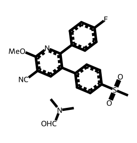 CN(C)C=O.COc1nc(-c2ccc(F)cc2)c(-c2ccc(S(C)(=O)=O)cc2)cc1C#N